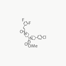 COC(=O)OCC(C1CCN(C(=O)C=Cc2cc(F)cc(F)c2)CC1)N1CCC(c2ccc(Cl)cc2)CC1